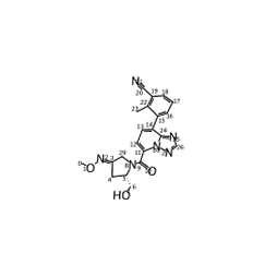 CO/N=C1\C[C@@H](CO)N(C(=O)c2ccc(-c3cccc(C#N)c3C)c3ncnn23)C1